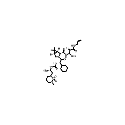 C=CCNC(=O)C(=O)C(CCCC)NC(=O)[C@@H]1[C@@H]2[C@H](CN1C(=O)[C@@H](NC(=O)N[C@H](CN1CCCN(C)S1(=O)=O)C(C)(C)C)C1CCCCC1)C2(C)C